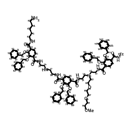 CCNC(=O)c1ccc(C(=O)NCCN(CCNC(=O)c2ccc(C(=O)NCCNCCNC(=O)c3ccc(C(=O)NCCCCCN)c(OCc4ccccc4)c3OCc3ccccc3)c(OCc3ccccc3)c2OCc2ccccc2)CCOCCOCCOC)c(OCc2ccccc2)c1OCc1ccccc1